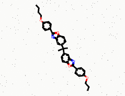 CCCCOc1ccc(-c2nc3cc(C(C)(C)c4ccc5oc(-c6ccc(OCCC)cc6)nc5c4)ccc3o2)cc1